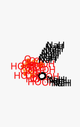 O=P(O)(O)OP(=O)(O)OP(=O)(O)OP(=O)(O)OP(=O)(O)OP(=O)(O)O[C@]1(O)[C@H](O)[C@H](O)[C@@H](O)[C@H](O)[C@H]1O.[NaH].[NaH].[NaH].[NaH].[NaH].[NaH].[NaH].[NaH].[NaH].[NaH].[NaH].[NaH]